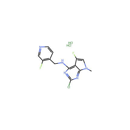 Cl.Cl.Cn1cc(F)c2c(NCc3ccncc3F)nc(Cl)nc21